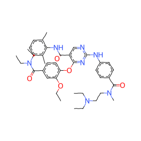 CCOc1cc(C(=O)N(CC)CC)ccc1Oc1nc(Nc2ccc(C(=O)N(C)CCN(CC)CC)cc2)ncc1C(=O)Nc1c(C)cccc1C